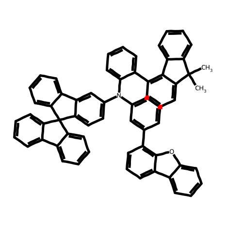 CC1(C)c2ccccc2-c2c(-c3ccccc3N(c3cccc(-c4cccc5c4oc4ccccc45)c3)c3ccc4c(c3)-c3ccccc3C43c4ccccc4-c4ccccc43)cccc21